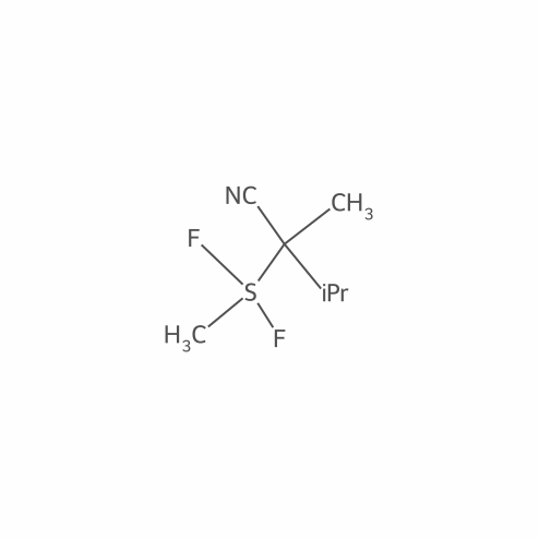 CC(C)C(C)(C#N)S(C)(F)F